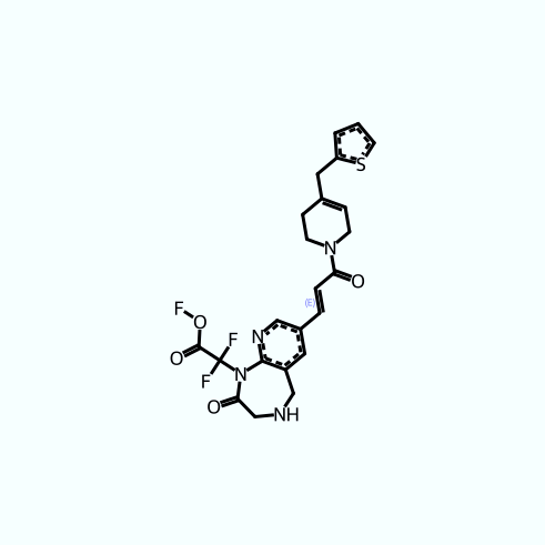 O=C(/C=C/c1cnc2c(c1)CNCC(=O)N2C(F)(F)C(=O)OF)N1CC=C(Cc2cccs2)CC1